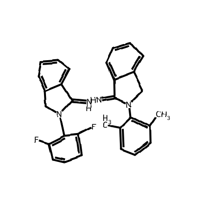 Cc1cccc(C)c1N1Cc2ccccc2C1=N.N=C1c2ccccc2CN1c1c(F)cccc1F